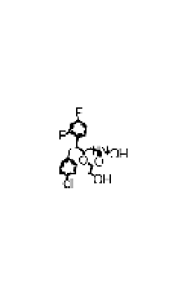 O=C(C[C@@H](OCCO)[C@H](Cc1ccc(Cl)cc1)c1ccc(F)cc1F)NO